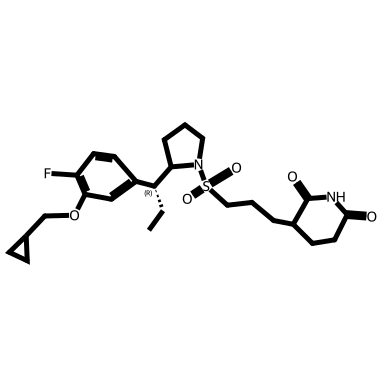 CC[C@H](c1ccc(F)c(OCC2CC2)c1)C1CCCN1S(=O)(=O)CCCC1CCC(=O)NC1=O